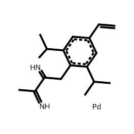 C=Cc1cc(C(C)C)c(CC(=N)C(C)=N)c(C(C)C)c1.[Pd]